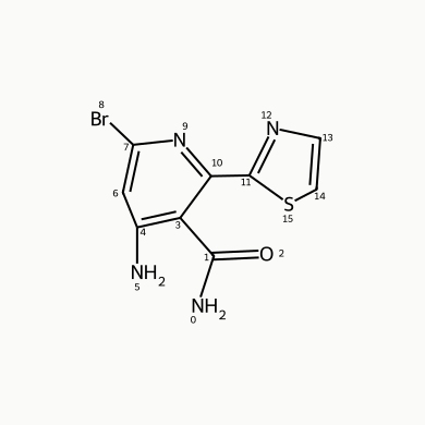 NC(=O)c1c(N)cc(Br)nc1-c1nccs1